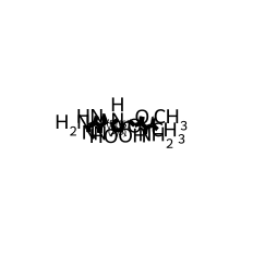 CCC(C)C(N)C(=O)OC[C@@H]1N[C@@H](c2c[nH]c3c(N)ncnc23)[C@H](O)[C@H]1O